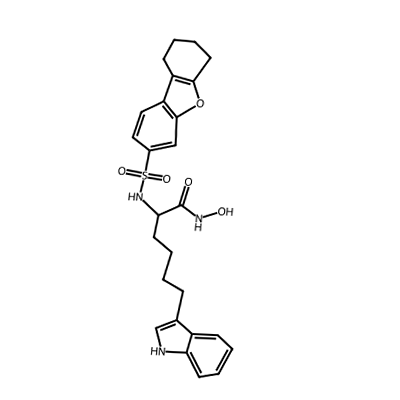 O=C(NO)C(CCCCc1c[nH]c2ccccc12)NS(=O)(=O)c1ccc2c3c(oc2c1)CCCC3